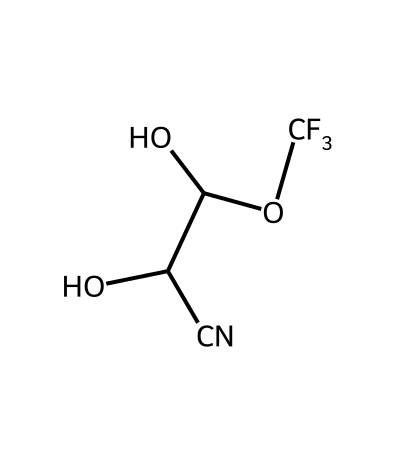 N#CC(O)C(O)OC(F)(F)F